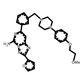 COCCOc1ccc(N2CCN(Cc3cccc(-c4cc5nc(-c6ccco6)nn5c(N)n4)c3)CC2)cc1